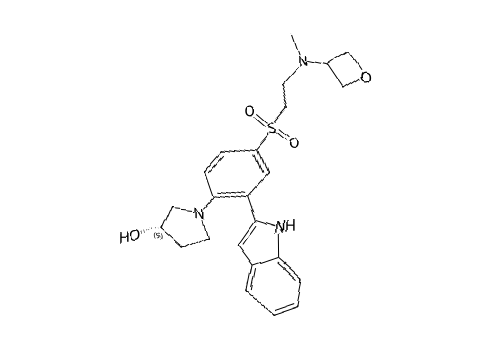 CN(CCS(=O)(=O)c1ccc(N2CC[C@H](O)C2)c(-c2cc3ccccc3[nH]2)c1)C1COC1